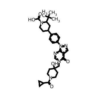 CC(C)(C)C1CC(c2ccc(-n3ncc4c(=O)n(CC5(O)CCN(C(=O)C6CC6)CC5)cnc43)cc2)CCN1C(=O)O